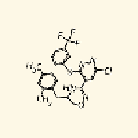 Cc1ccc(CC2CON=C(c3cc(Cl)nnc3Sc3cccc(C(F)(F)F)c3)N2)c(C)c1